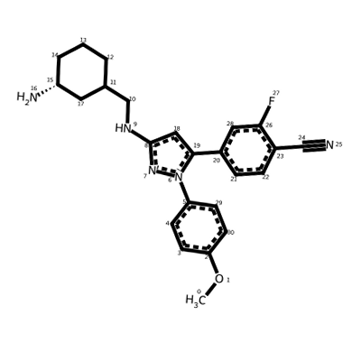 COc1ccc(-n2nc(NCC3CCC[C@@H](N)C3)cc2-c2ccc(C#N)c(F)c2)cc1